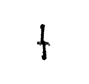 CC(CCCCCCCCCCCCC1CCCO1)SC(C)CCCCCCCCCCCCC1CCCO1